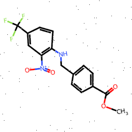 COC(=O)c1ccc(CNc2ccc(C(F)(F)F)cc2[N+](=O)[O-])cc1